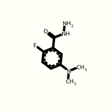 CN(C)c1ccc(F)c(C(=O)NN)c1